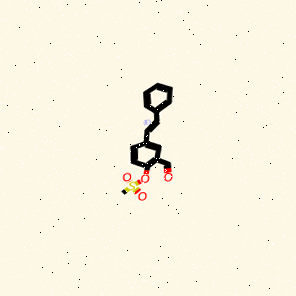 CS(=O)(=O)Oc1ccc(/C=C/c2ccccc2)cc1C=O